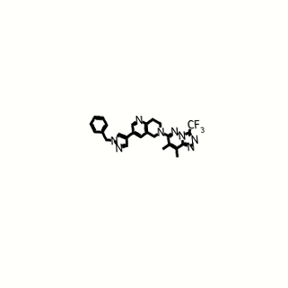 Cc1c(N2CCc3ncc(-c4cnn(Cc5ccccc5)c4)cc3C2)nn2c(C(F)(F)F)nnc2c1C